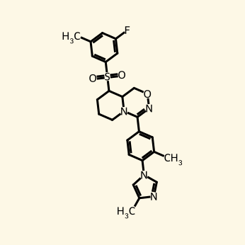 Cc1cc(F)cc(S(=O)(=O)C2CCCN3C(c4ccc(-n5cnc(C)c5)c(C)c4)=NOCC23)c1